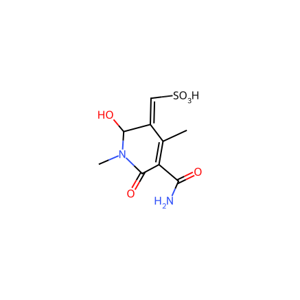 CC1=C(C(N)=O)C(=O)N(C)C(O)C1=CS(=O)(=O)O